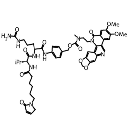 COc1cc2c(=O)n(CCN(C)C(=O)OCc3ccc(NC(=O)[C@H](CCCNC(N)=O)NC(=O)[C@@H](NC(=O)CCCCCN4CC=CC4=O)C(C)C)cc3)c3c4cc5c(cc4ncc3c2cc1OC)OCO5